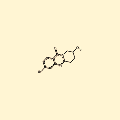 CC1CCc2nc3cc(Br)ccc3c(=O)n2C1